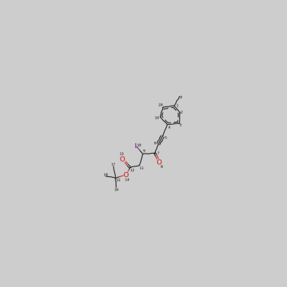 Cc1ccc(C#CC(=O)C(I)CC(=O)OC(C)(C)C)cc1